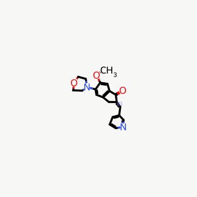 COc1cc2c(cc1N1CCOCC1)C/C(=C\c1cccnc1)C2=O